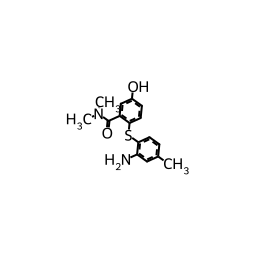 Cc1ccc(Sc2ccc(O)cc2C(=O)N(C)C)c(N)c1